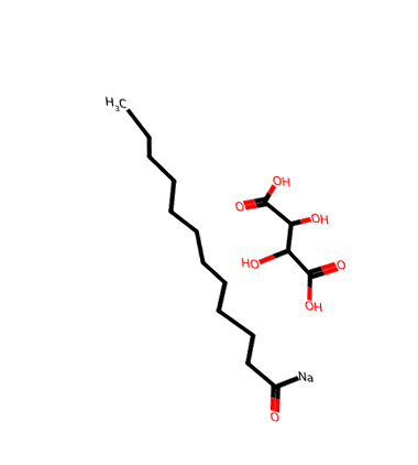 CCCCCCCCCCC[C](=O)[Na].O=C(O)C(O)C(O)C(=O)O